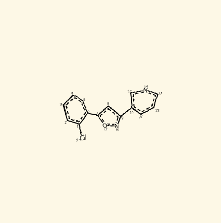 Clc1ccccc1-c1cc(-c2cccnc2)no1